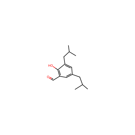 CC(C)Cc1cc(C=O)c(O)c(CC(C)C)c1